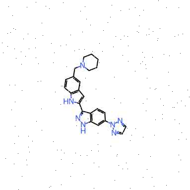 c1cnn(-c2ccc3c(-c4cc5cc(CN6CCCCC6)ccc5[nH]4)n[nH]c3c2)n1